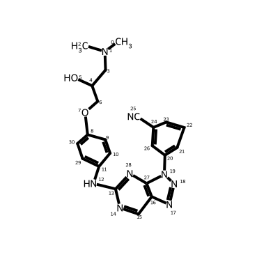 CN(C)CC(O)COc1ccc(Nc2ncc3nnn(-c4cccc(C#N)c4)c3n2)cc1